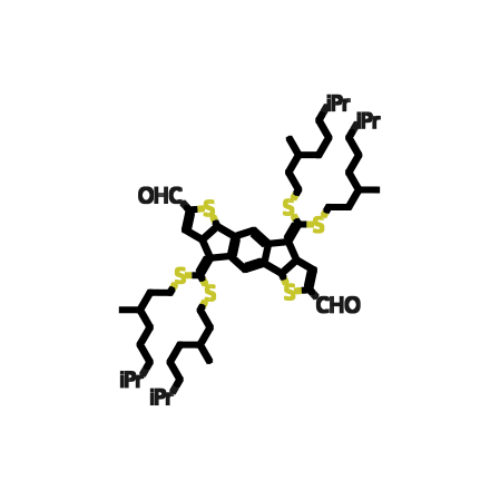 CC(C)CCCC(C)CCSC(SCCC(C)CCCC(C)C)=C1c2cc3c(cc2C2SC(C=O)=CC12)C(=C(SCCC(C)CCCC(C)C)SCCC(C)CCCC(C)C)C1C=C(C=O)SC31